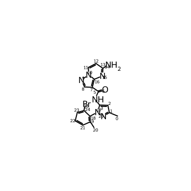 Cc1cc(NC(=O)c2cnn3ccc(N)nc23)n(-c2c(C)cccc2Br)n1